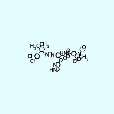 CN(c1ccc(S(=O)(=O)NC(=O)c2ccc(N3CCN(CC4=C(c5ccc(Cl)c(Cl)c5)CC(C)(C)CC4)CC3)cc2Oc2cnc3[nH]ccc3c2)cc1[N+](=O)[O-])C1CCOCC1